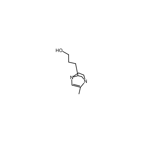 CC1=CN2CCN1CC2CCCO